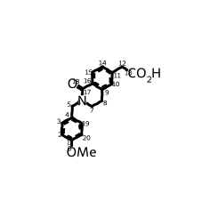 COc1ccc(CN2CCc3cc(CC(=O)O)ccc3C2=O)cc1